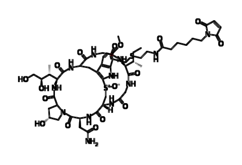 CC[C@H](C)[C@@H]1NC(=O)CNC(=O)C2Cc3c([nH]c4c(CSCCNC(=O)CCCCCN5C(=O)C=CC5=O)c(OC)ccc34)[S+]([O-])C[C@H](NC(=O)CNC1=O)C(=O)N[C@@H](CC(N)=O)C(=O)N1C[C@H](O)CC1C(=O)N[C@@H]([C@@H](C)[C@@H](O)CO)C(=O)N2